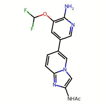 CC(=O)Nc1cn2cc(-c3cnc(N)c(OC(F)F)c3)ccc2n1